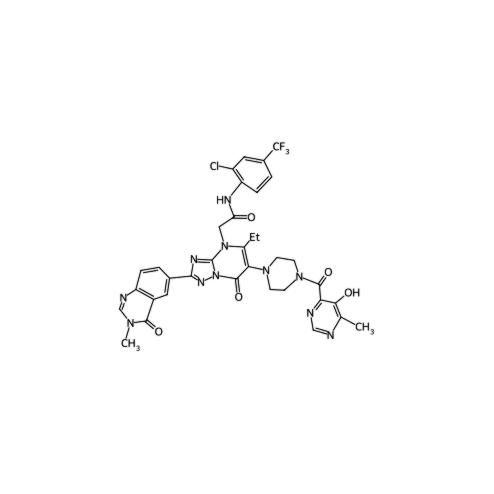 CCc1c(N2CCN(C(=O)c3ncnc(C)c3O)CC2)c(=O)n2nc(-c3ccc4ncn(C)c(=O)c4c3)nc2n1CC(=O)Nc1ccc(C(F)(F)F)cc1Cl